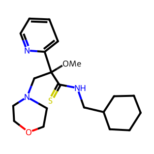 COC(CN1CCOCC1)(C(=S)NCC1CCCCC1)c1ccccn1